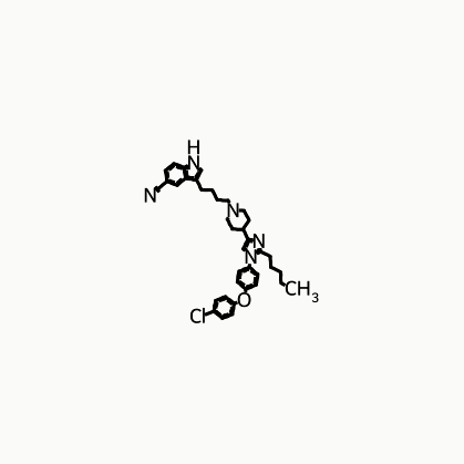 CCCCCc1nc(C2CCN(CCCCc3c[nH]c4ccc(C#N)cc34)CC2)cn1-c1ccc(Oc2ccc(Cl)cc2)cc1